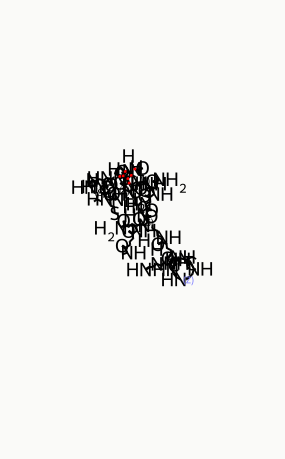 CNC(=O)CCCC(=O)NC(CCC(N)=O)C(=O)N[C@@H](CCCCNC(=O)CCCC(=O)N[C@]1(CNCCNCC=N)CNCCN/C=C\CNCCNC1)C(=O)NC(CC(C)C)C(=O)NCC(=O)NC(CC(N)=O)C(=O)N[C@@H](CCC(N)=O)C(=O)NC(Cc1c[nH]c2ccccc12)C(=O)N[C@@H](C)C(=O)NC(C(=O)NCC(=O)NC(Cc1c[nH]cn1)C(=O)N[C@@H](CC(C)C)C(=O)NC(CCSC)C(N)=O)C(C)C